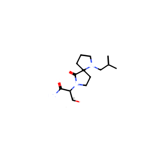 CC(C)CN1CCCC12CCN(C(C(N)=O)[C@@H](C)O)C2=O